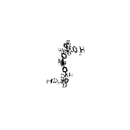 O=C(Nc1ccc(-c2nnc(-c3ccc(NC(=O)[C@@H]4CCC(=O)N4C(=O)O)cc3)o2)cc1)[C@@H]1CCC(=O)N1C(=O)O